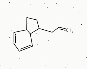 C=CCC1CCC2C=CC=CC21